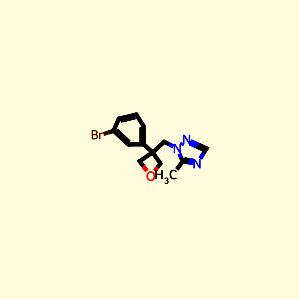 Cc1ncnn1CC1(c2cccc(Br)c2)COC1